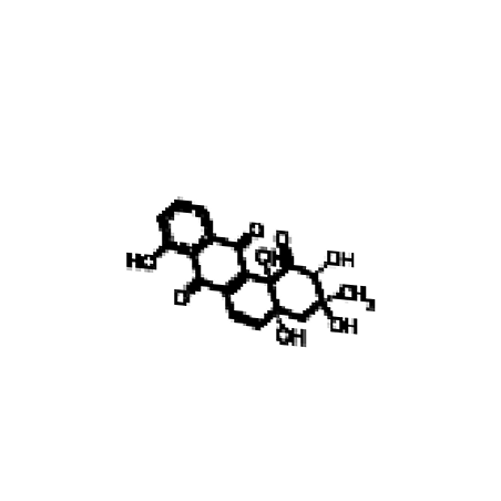 C[C@]1(O)C[C@@]2(O)C=CC3=C(C(=O)c4cccc(O)c4C3=O)[C@@]2(O)C(=O)[C@@H]1O